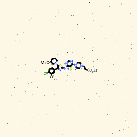 CCOC(=O)CCN1CCN(c2ncnc(Nc3nc(-c4ccc(Cl)c(C(F)(F)F)c4)c(N4CCC[C@H](OC)C4)s3)c2F)CC1